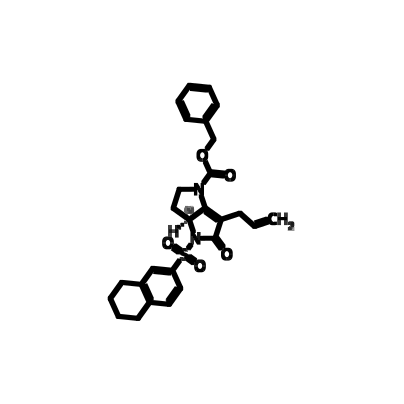 C=CCC1=C2[C@H](CCN2C(=O)OCc2ccccc2)N(S(=O)(=O)c2ccc3c(c2)CCCC3)C1=O